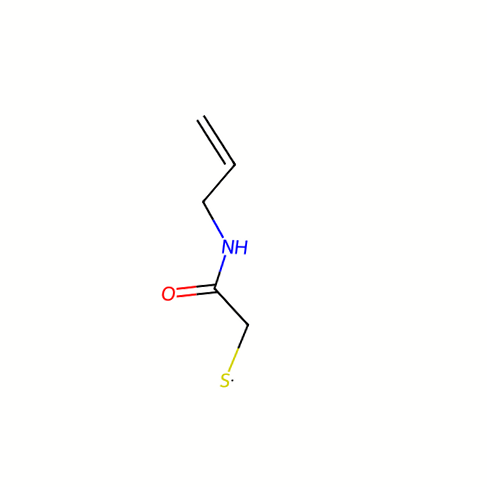 C=CCNC(=O)C[S]